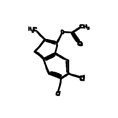 CC(=O)OC1=C(C)Cc2cc(Cl)c(Cl)cc21